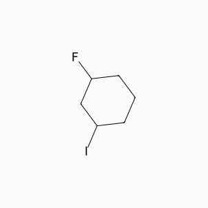 FC1CCCC(I)C1